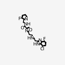 O=C(NCc1ncccc1F)c1coc(CCNCCc2nc3c(F)ccc(Cl)c3[nH]2)n1